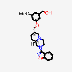 COc1cc(CO)cc(OC[C@H]2CC[C@H]3CN(c4noc5ccccc45)CCN3C2)c1